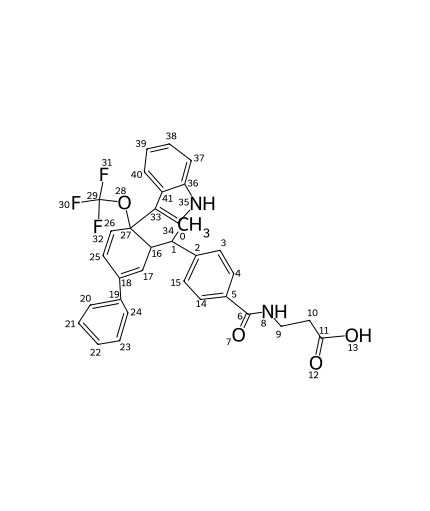 CC(c1ccc(C(=O)NCCC(=O)O)cc1)C1C=C(c2ccccc2)C=CC1(OC(F)(F)F)c1c[nH]c2ccccc12